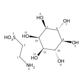 NCCS(=O)(=O)O.O[C@H]1[C@H](O)[C@@H](O)[C@H](O)[C@@H](O)[C@H]1O